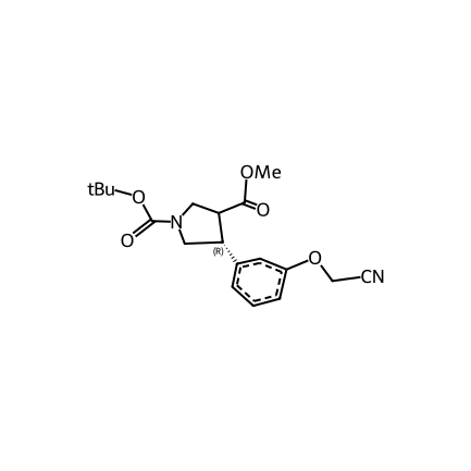 COC(=O)C1CN(C(=O)OC(C)(C)C)C[C@H]1c1cccc(OCC#N)c1